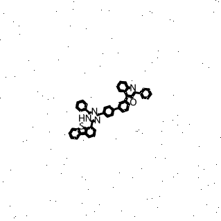 c1ccc(-c2nc3ccccc3c3c2oc2ccc(-c4ccc(C5=NC(c6ccccc6)NC(c6cccc7c6sc6ccccc67)=N5)cc4)cc23)cc1